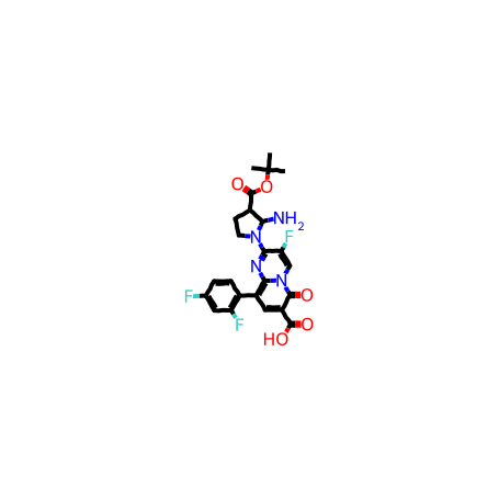 CC(C)(C)OC(=O)C1CCN(c2nc3c(-c4ccc(F)cc4F)cc(C(=O)O)c(=O)n3cc2F)C1N